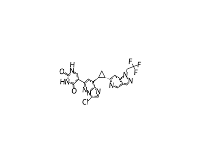 O=c1[nH]cc(-c2cc([C@H]3C[C@@H]3c3cc4c(cn3)cnn4CC(F)(F)F)c3ncc(Cl)n3n2)c(=O)[nH]1